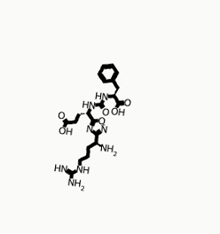 N=C(N)NCCC[C@H](N)c1noc([C@H](CCC(=O)O)NC(=O)N[C@@H](Cc2ccccc2)C(=O)O)n1